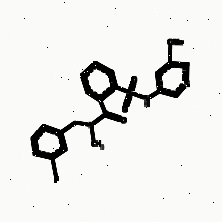 COc1cncc(NS(=O)(=O)c2ccccc2C(=O)N(C)Cc2cccc(F)c2)c1